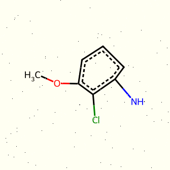 COc1cccc([NH])c1Cl